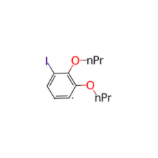 CCCOc1[c]ccc(I)c1OCCC